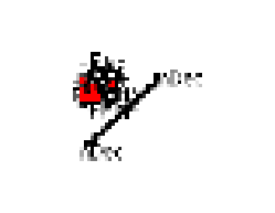 CCCCCCCCCCCCCCCCCC[NH2+]CCCCCCCCCCCCCCCCCC.FC1=C(F)C(F)C(c2c(F)c(F)c(F)c(F)c2F)([B-](c2c(F)c(F)c(F)c(F)c2F)(c2c(F)c(F)c(F)c(F)c2F)c2c(F)c(F)c(F)c(F)c2F)C(F)=C1F